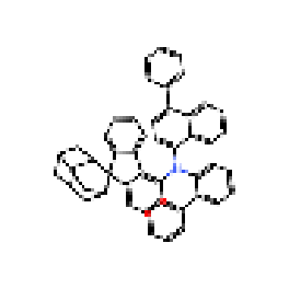 c1ccc(-c2ccccc2N(c2cccc3c2-c2ccccc2C32C3CC4CC(C3)CC2C4)c2ccc(-c3ccccc3)c3ccccc23)cc1